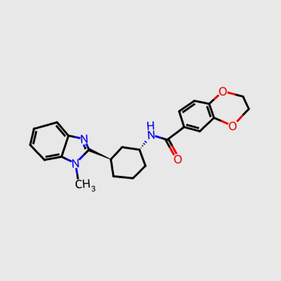 Cn1c([C@@H]2CCC[C@@H](NC(=O)c3ccc4c(c3)OCCO4)C2)nc2ccccc21